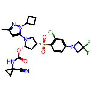 Cc1cc(N2C[C@H](S(=O)(=O)c3ccc(N4CC(F)(F)C4)cc3Cl)C[C@@H]2OC(=O)NC2(C#N)CC2)n(C2CCC2)n1